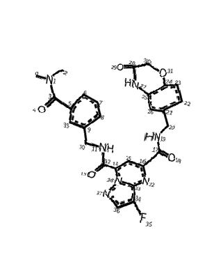 CN(C)C(=O)c1cccc(CNC(=O)c2cc(C(=O)NCc3ccc4c(c3)NC(=O)CO4)nc3c(F)cnn23)c1